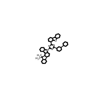 CC1(C)c2ccccc2-c2ccc3c(c21)c1ccccc1n3-c1nc(-c2cccc(-c3ccccc3)c2)nc(-c2cccc3c2oc2ccccc23)n1